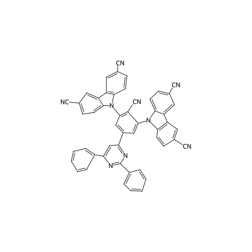 N#Cc1ccc2c(c1)c1cc(C#N)ccc1n2-c1cc(-c2cc(-c3ccccc3)nc(-c3ccccc3)n2)cc(-n2c3ccc(C#N)cc3c3cc(C#N)ccc32)c1C#N